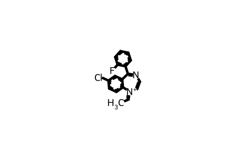 C/C=[N+]1/C=CN=C(c2ccccc2F)c2cc(Cl)ccc21